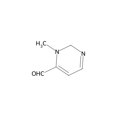 CN1CN=CC=C1C=O